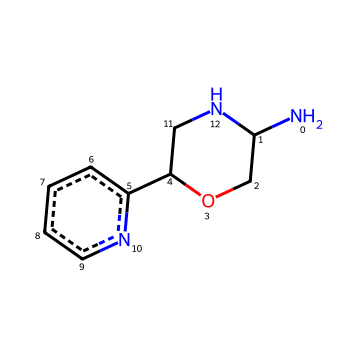 NC1COC(c2ccccn2)CN1